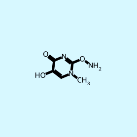 Cn1cc(O)c(=O)nc1ON